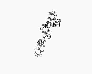 O=C(CCc1nc(-c2ccccc2)no1)N1CCCN(Cc2n[nH]c(=O)c3ccccc23)CC1